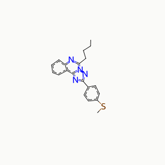 CCCCc1nc2ccccc2c2nc(-c3ccc(SC)cc3)nn12